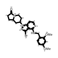 COc1ccc(CNc2nccc3c2c(Br)nn3C2CCN3C(=O)CCC3C2)c(OC)c1